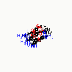 CCOC(=O)c1ccc(OC(=O)CCCCCNC(=N)N)cc1.CN(C)C(=O)COC(=O)Cc1ccc(OC(=O)c2ccc(NC(=N)N)cc2)cc1.N=C(N)Nc1ccc(C(=O)Oc2ccc3cc(C(=N)N)ccc3c2)cc1